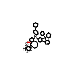 C=C1/C=C\C=C/Cc2c(N(c3ccc(-c4ccccc4)cc3)c3ccc4c(c3)C(c3ccccc3)(c3ccccc3)c3ccccc3-4)cccc2C12c1ccccc1Oc1ccccc12